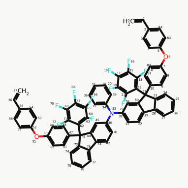 C=Cc1ccc(Oc2ccc(C3(c4c(F)c(F)c(F)c(F)c4F)c4ccccc4-c4ccc(N(c5ccccc5)c5ccc6c(c5)C(c5ccc(Oc7ccc(C=C)cc7)cc5)(c5c(F)c(F)c(F)c(F)c5F)c5ccccc5-6)cc43)cc2)cc1